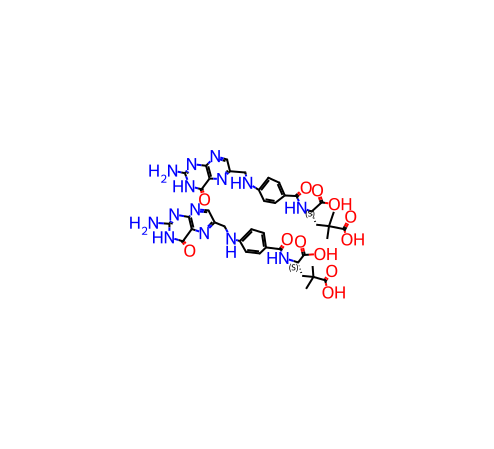 CC(C)(C[C@H](NC(=O)c1ccc(NCc2cnc3nc(N)[nH]c(=O)c3n2)cc1)C(=O)O)C(=O)O.CC(C)(C[C@H](NC(=O)c1ccc(NCc2cnc3nc(N)[nH]c(=O)c3n2)cc1)C(=O)O)C(=O)O